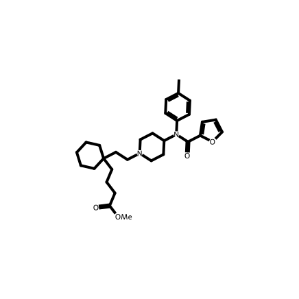 COC(=O)CCCC1(CCN2CCC(N(C(=O)c3ccco3)c3ccc(C)cc3)CC2)CCCCC1